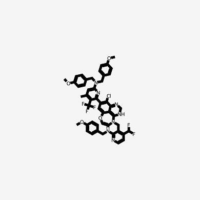 COc1ccc(CNc2nccc(C(F)F)c2CN2C=COc3cc(-c4nc(N(Cc5ccc(OC)cc5)Cc5ccc(OC)cc5)cc(C)c4C(F)(F)F)c(Cl)c4c3=C2NCN=4)cc1